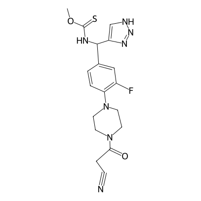 COC(=S)NC(c1ccc(N2CCN(C(=O)CC#N)CC2)c(F)c1)c1c[nH]nn1